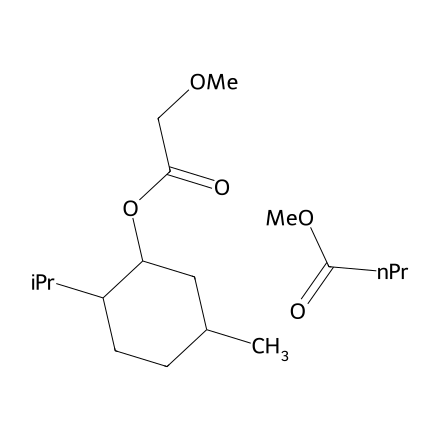 CCCC(=O)OC.COCC(=O)OC1CC(C)CCC1C(C)C